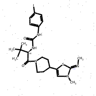 C/N=c1\sc(C2CCN(C(=O)[C@H](NC(=O)Nc3ccc(I)cc3)C(C)(C)C)CC2)cn1C